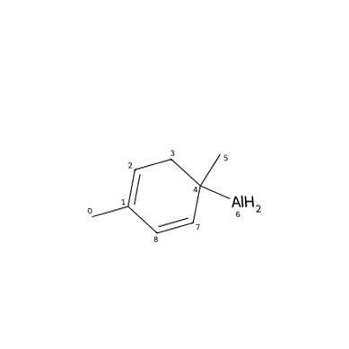 CC1=CC[C](C)([AlH2])C=C1